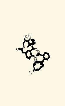 CCOC(=O)C(COC(=O)Cc1ccc(NC(=O)c2ccccc2-c2ccc(C(F)(F)F)cc2)c(C(=O)N(C)C)c1)c1sccc1C